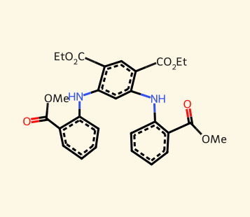 CCOC(=O)c1cc(C(=O)OCC)c(Nc2ccccc2C(=O)OC)cc1Nc1ccccc1C(=O)OC